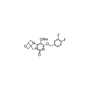 COc1c(OCc2ccc(F)c(F)c2)nc(=O)n2c1N1CC3OCC31C2